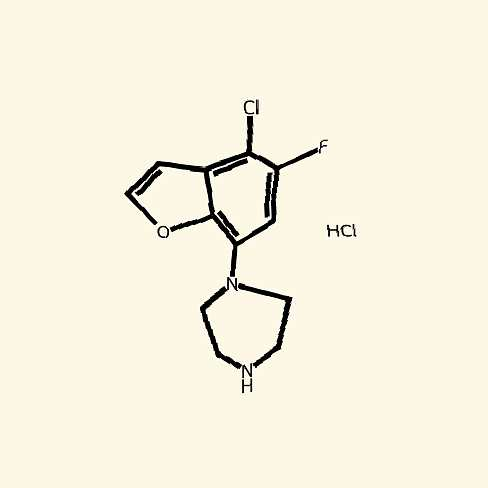 Cl.Fc1cc(N2CCNCC2)c2occc2c1Cl